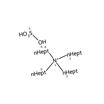 CCCCCCC[N+](CCCCCCC)(CCCCCCC)CCCCCCC.O=S(=O)(O)O